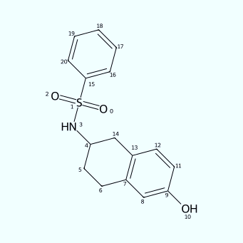 O=S(=O)(NC1CCc2cc(O)ccc2C1)c1ccccc1